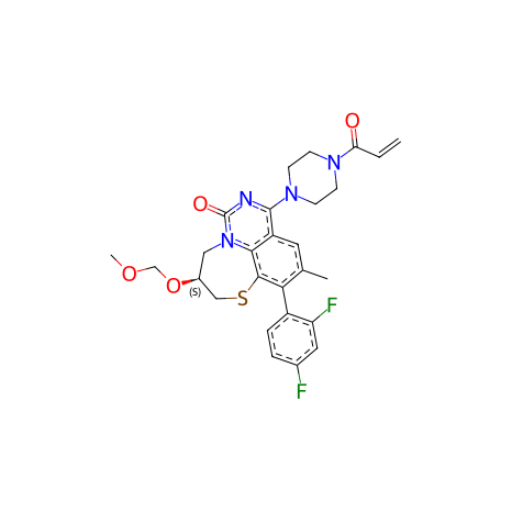 C=CC(=O)N1CCN(c2nc(=O)n3c4c(c(-c5ccc(F)cc5F)c(C)cc24)SC[C@@H](OCOC)C3)CC1